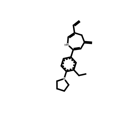 C=CC1=CNC(c2ccc(N3CCCC3)c(CC)c2)=CC(=C)C1